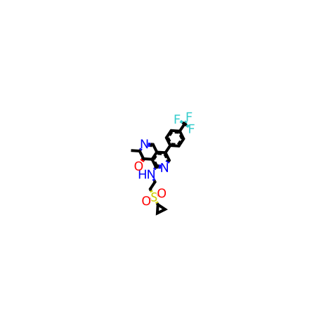 CC1N=Cc2c(-c3ccc(C(F)(F)F)cc3)cnc(NCCS(=O)(=O)C3CC3)c2C1=O